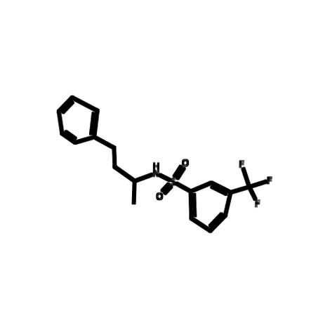 CC(CCc1ccccc1)NS(=O)(=O)c1cccc(C(F)(F)F)c1